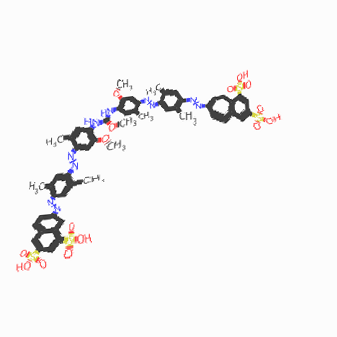 COc1cc(N=Nc2cc(C)c(N=NC3=CCc4c(cc(S(=O)(=O)O)cc4S(=O)(=O)O)C=C3)cc2C)c(C)cc1NC(Nc1cc(C)c(N=Nc2cc(C)c(N=NC3=CC=C4C=C(S(=O)(=O)O)C=C(S(=O)(=O)O)C4C3)cc2C)cc1OC)OC